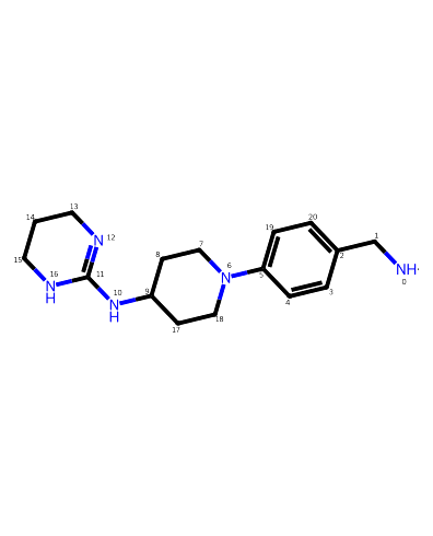 [NH]Cc1ccc(N2CCC(NC3=NCCCN3)CC2)cc1